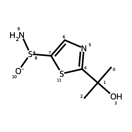 CC(C)(O)c1ncc([S+](N)[O-])s1